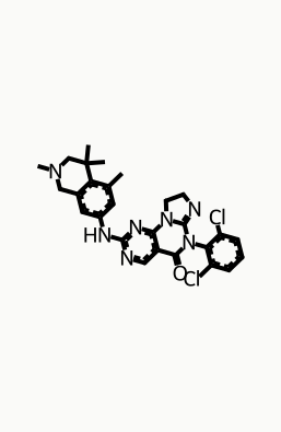 Cc1cc(Nc2ncc3c(n2)N2CCN=C2N(c2c(Cl)cccc2Cl)C3=O)cc2c1C(C)(C)CN(C)C2